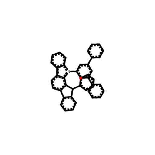 c1ccc(-c2cc(-c3ccccc3)cc(-n3c4ccccc4c4ccc5c(c43)C(c3ccccc3)c3ccccc3-5)c2)cc1